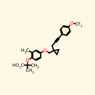 Cc1cc(OCC2(CC#Cc3ccc(OC(F)(F)F)cc3)CC2)ccc1OC(C)(C)C(=O)O